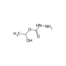 CC(O)OC(=O)NN